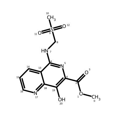 COC(=O)c1nc(NCS(C)(=O)=O)c2cccnc2c1O